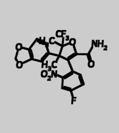 CC1(c2ccc3c(c2)OCO3)C(c2ccc(F)cc2[N+](=O)[O-])=C(C(N)=O)OC1(C)C(F)(F)F